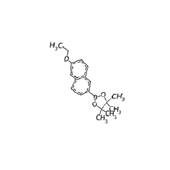 CCOc1ccc2cc(B3OC(C)(C)C(C)(C)O3)ccc2c1